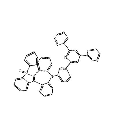 O=P1(c2ccccc2)C2=C(c3ccccc3N(c3cccc(-c4cc(-c5ccccc5)cc(-c5ccccc5)n4)c3)c3ccccc32)c2ccccc21